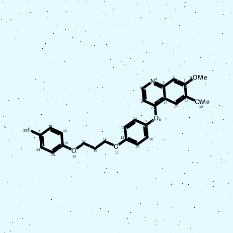 COc1cc2nccc(Oc3ccc(OCCCOc4ccc(F)cc4)cc3)c2cc1OC